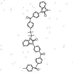 Cc1ccc(C(=O)c2ccc(C(=O)c3ccc(-n4c(=O)n(C(C)(C)C(C)(C)c5ccc(C(=O)c6ccc(-n7c(=O)n(C)c8ccccc87)cc6)cc5)c5ccccc54)cc3)cc2)cc1